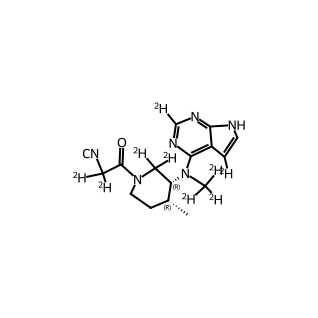 [2H]c1nc(N([C@@H]2[C@H](C)CCN(C(=O)C([2H])([2H])[N+]#[C-])C2([2H])[2H])C([2H])([2H])[2H])c2c([2H])c[nH]c2n1